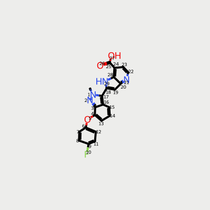 Cn1nc2c(Oc3ccc(F)cc3)cccc2c1-c1cc2nccc(C(=O)O)c2[nH]1